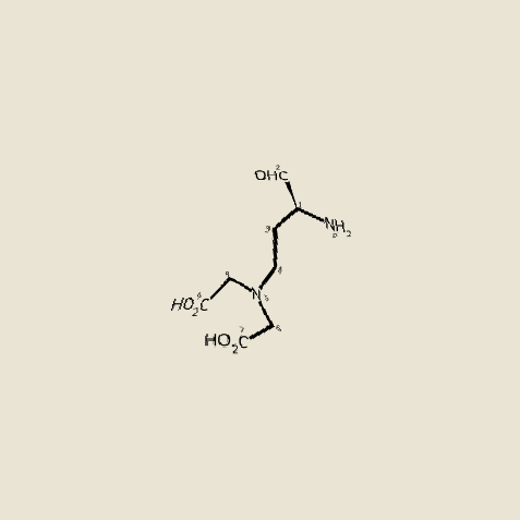 N[C@H](C=O)CCN(CC(=O)O)CC(=O)O